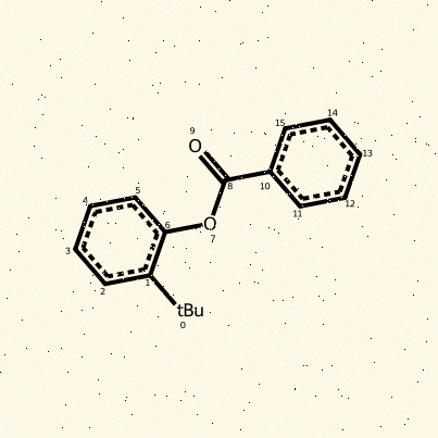 CC(C)(C)c1ccccc1OC(=O)c1ccccc1